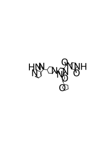 O=C1CN(C(=O)c2cc(N3CCC(c4n[nH]c5ncccc45)CC3)nc(OC[C@H]3CCCO3)n2)CCN1